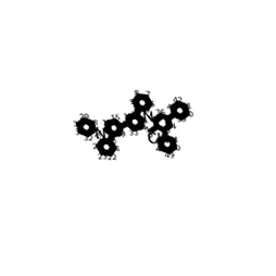 CCC1C(n2c3ccccc3c3cc(-c4ccc5c(c4)c4ccccc4n5-c4ccccc4)ccc32)=CC(c2ccccc2)=CC1c1ccccc1